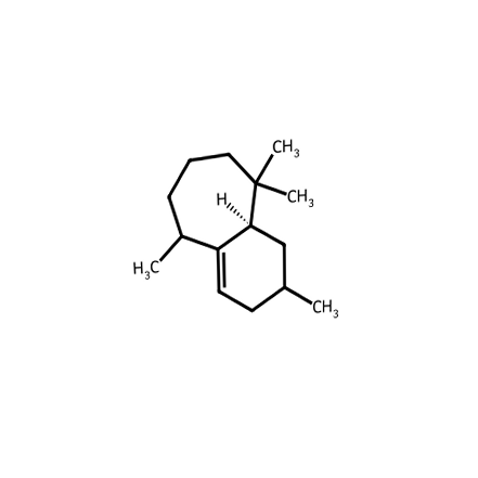 CC1CC=C2C(C)CCCC(C)(C)[C@H]2C1